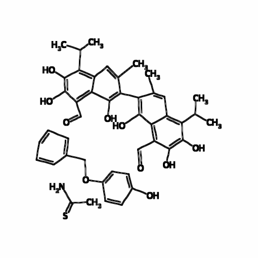 CC(N)=S.Cc1cc2c(C(C)C)c(O)c(O)c(C=O)c2c(O)c1-c1c(C)cc2c(C(C)C)c(O)c(O)c(C=O)c2c1O.Oc1ccc(OCc2ccccc2)cc1